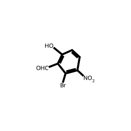 O=Cc1c(O)ccc([N+](=O)[O-])c1Br